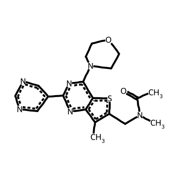 CC(=O)N(C)Cc1sc2c(N3CCOCC3)nc(-c3cncnc3)nc2c1C